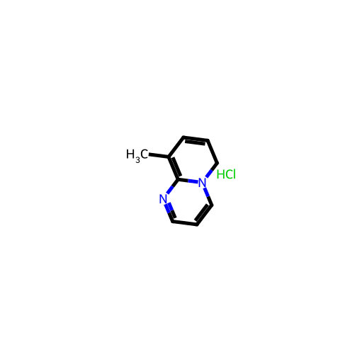 CC1=C2N=CC=CN2CC=C1.Cl